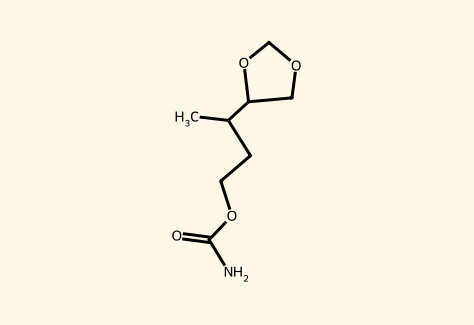 CC(CCOC(N)=O)C1COCO1